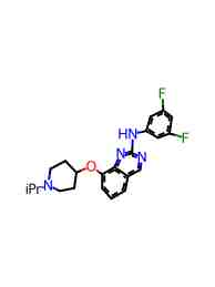 CC(C)N1CCC(Oc2cccc3cnc(Nc4cc(F)cc(F)c4)nc23)CC1